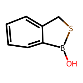 OB1SCc2ccccc21